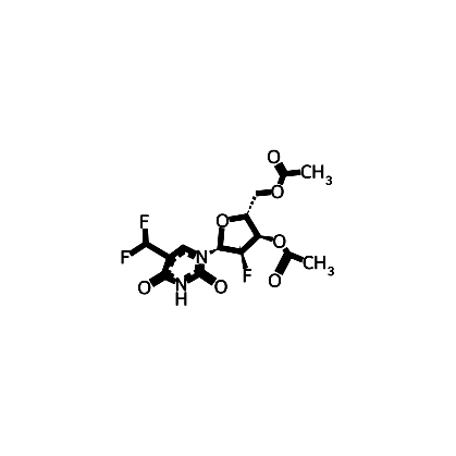 CC(=O)OC[C@H]1O[C@@H](n2cc(C(F)F)c(=O)[nH]c2=O)[C@H](F)[C@@H]1OC(C)=O